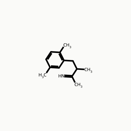 CC(=N)C(C)Cc1cc(C)ccc1C